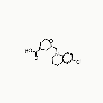 O=C(O)N1CCO[C@@H](CN2CCCc3cc(Cl)ccc32)C1